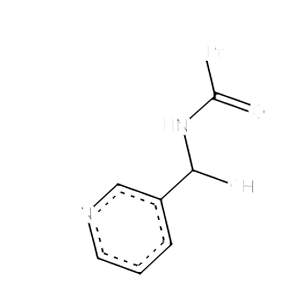 CC(C)C(=O)NC(C)c1cccnc1